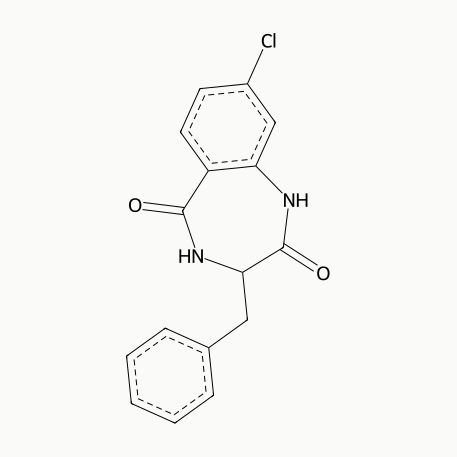 O=C1NC(Cc2ccccc2)C(=O)Nc2cc(Cl)ccc21